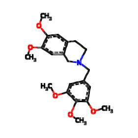 COc1cc2c(cc1OC)CN(Cc1cc(OC)c(OC)c(OC)c1)CC2